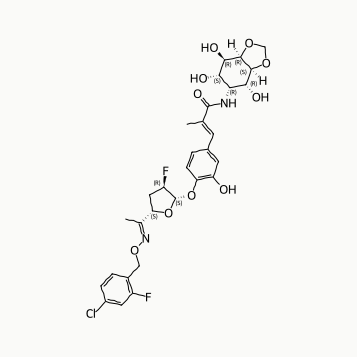 CC(=Cc1ccc(O[C@@H]2O[C@H](C(C)=NOCc3ccc(Cl)cc3F)C[C@H]2F)c(O)c1)C(=O)N[C@@H]1[C@H](O)[C@@H](O)[C@H]2OCO[C@H]2[C@@H]1O